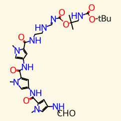 Cn1cc(NC(=O)c2cc(NC(=O)c3cc(NC=O)cn3C)cn2C)cc1C(=O)NCCNC=NC(=O)OC(C)(C)CNC(=O)OC(C)(C)C